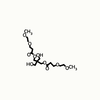 COCCOCCC(=O)OCC(CO)(CO)COC(=O)CCOCCOC